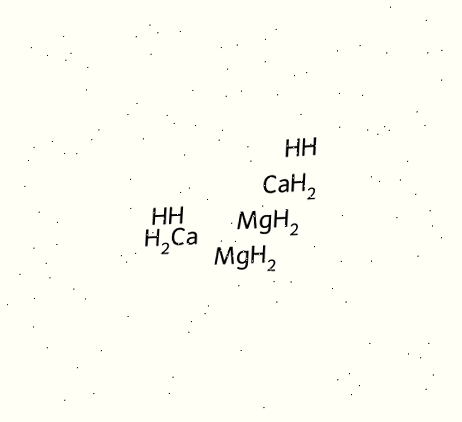 [CaH2].[CaH2].[HH].[HH].[MgH2].[MgH2]